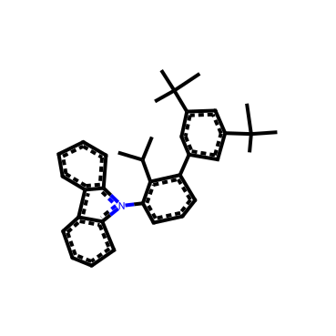 CC(C)c1c(-c2cc(C(C)(C)C)cc(C(C)(C)C)c2)cccc1-n1c2ccccc2c2ccccc21